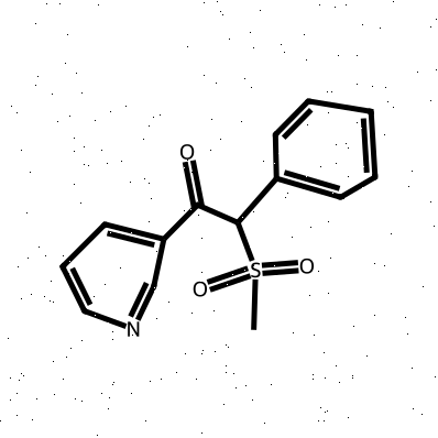 CS(=O)(=O)C(C(=O)c1cccnc1)c1ccccc1